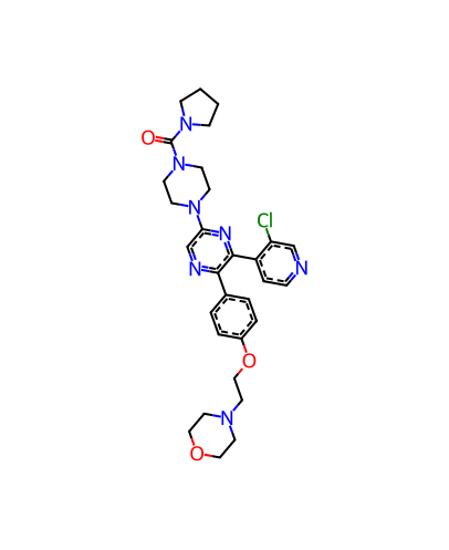 O=C(N1CCCC1)N1CCN(c2cnc(-c3ccc(OCCN4CCOCC4)cc3)c(-c3ccncc3Cl)n2)CC1